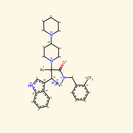 CC(=O)C(C(=O)N(C)Cc1ccccc1C(F)(F)F)(C(N)c1c[nH]c2ccccc12)N1CCC(N2CCCCC2)CC1